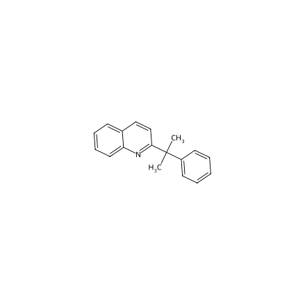 CC(C)(c1ccccc1)c1ccc2ccccc2n1